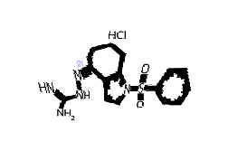 Cl.N=C(N)N/N=C1/CCCc2c1ccn2S(=O)(=O)c1ccccc1